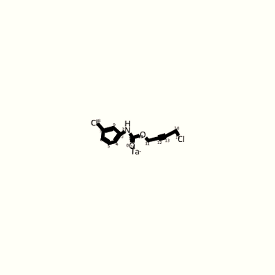 O=C(Nc1cccc(Cl)c1)OCC#CCCl.[Ta]